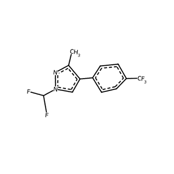 Cc1nn(C(F)F)cc1-c1ccc(C(F)(F)F)cc1